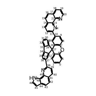 c1ccc2c(c1)Oc1ccc(-c3ccc4ccc5cccnc5c4n3)cc1C21c2ccccc2-c2ccc(-c3ccc4ccc5cc[nH]c5c4n3)cc21